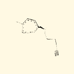 C#CCCSc1ccc(C)cc1